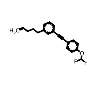 C=CCCCc1cccc(C#Cc2ccc(OC(F)F)cc2)c1